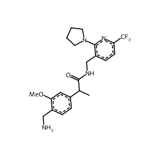 COc1cc(C(C)C(=O)NCc2ccc(C(F)(F)F)nc2N2CCCC2)ccc1CN